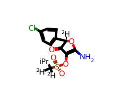 [2H]C([2H])(C(C)C)S(=O)(=O)OC1=C(N)O[C@]([2H])(c2ccc(Cl)cc2)C1=O